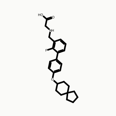 O=C(O)CNCc1cccc(-c2ccc(OC3CCC4(CCCC4)CC3)cc2)c1F